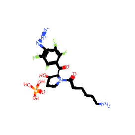 O=P(O)(O)O.[N-]=[N+]=Nc1c(F)c(F)c(C(=O)[C@@H]2C(O)CCN2C(=O)CCCCCN)c(F)c1F